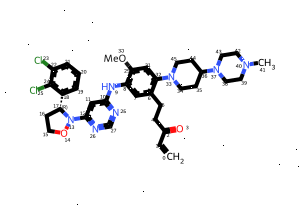 C=CC(=O)CCc1cc(Nc2cc(N3OCC[C@@H]3c3cccc(Cl)c3Cl)ncn2)c(OC)cc1N1CCC(N2CCN(C)CC2)CC1